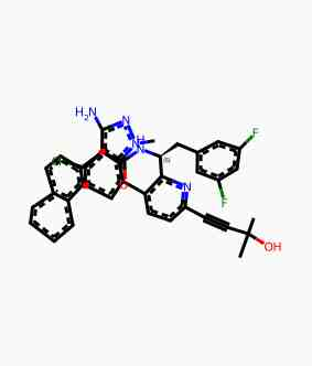 Cn1nc(N)c2c(Cl)ccc(-c3ccc(C#CC(C)(C)O)nc3[C@H](Cc3cc(F)cc(F)c3)NC(=O)Cc3ccc4ccccc4c3)c21